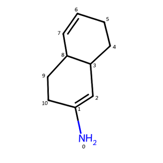 NC1=CC2CCC=CC2CC1